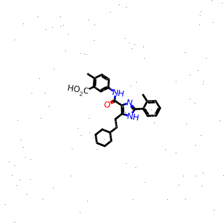 Cc1ccc(NC(=O)c2nc(-c3ccccc3C)[nH]c2CCC2CCCCC2)cc1C(=O)O